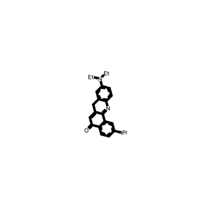 CCN(CC)c1ccc2c(c1)CC1=CC(=O)c3ccc(C(C)C)cc3C1=N2